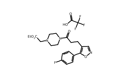 CCOC(=O)CN1CCN(C(=O)CCc2cnoc2-c2ccc(F)cc2)CC1.O=C(O)C(F)(F)F